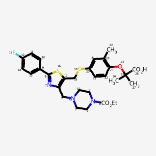 CCOC(=O)N1CCN(Cc2nc(-c3ccc(F)cc3)sc2CSc2ccc(OC(C)(C)C(=O)O)c(C)c2)CC1